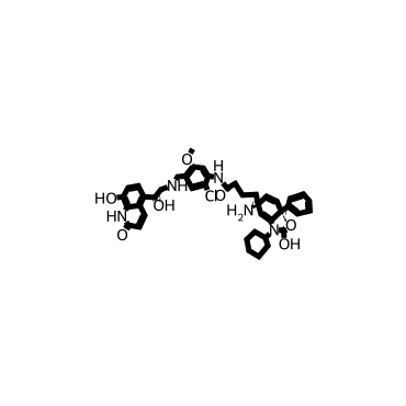 COc1cc(NC(=O)CCC[C@]2(N)C=C[C@@](C)(c3ccccc3)C(N(C(=O)O)C3CCCCC3)=C2)c(Cl)cc1CNC[C@H](O)c1ccc(O)c2[nH]c(=O)ccc12